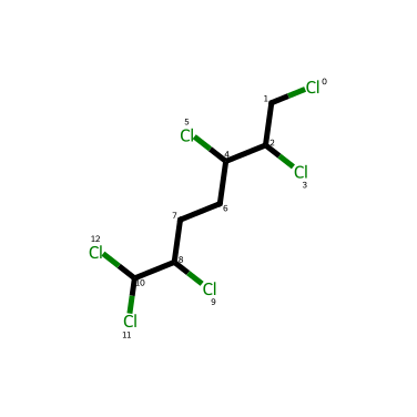 ClCC(Cl)C(Cl)CCC(Cl)C(Cl)Cl